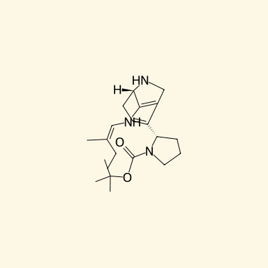 CC/C(C)=C\NC1=C2CN[C@H]1CC=C2[C@@H]1CCCN1C(=O)OC(C)(C)C